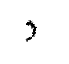 [2H]c1cc(N2CCN(C(=O)CCSSc3ccc([N+](=O)[O-])cn3)CC2)ccc1C(=O)NCc1ccc(NC(=O)[C@@H]2[C@@H](c3cccnc3)C2([2H])[2H])cc1F